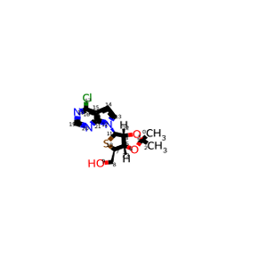 CC1(C)O[C@@H]2[C@H](O1)[C@@H](CO)S[C@H]2n1ccc2c(Cl)ncnc21